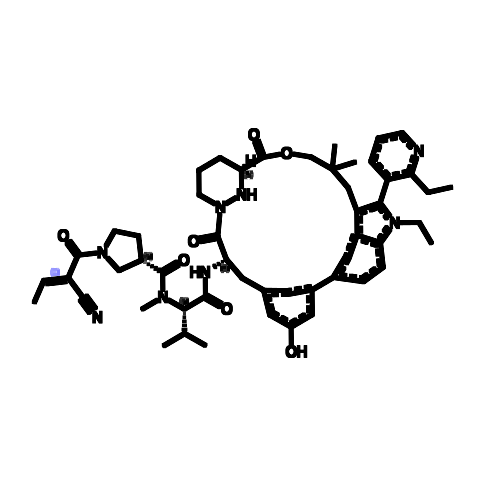 C/C=C(\C#N)C(=O)N1CC[C@H](C(=O)N(C)[C@H](C(=O)N[C@H]2Cc3cc(O)cc(c3)-c3ccc4c(c3)c(c(-c3cccnc3CC)n4CC)CC(C)(C)COC(=O)[C@@H]3CCCN(N3)C2=O)C(C)C)C1